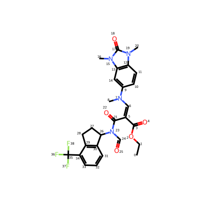 CCOC(=O)/C(=C/N(C)c1ccc2c(c1)n(C)c(=O)n2C)C(=O)N(C=O)C1CCc2c1cccc2C(F)(F)F